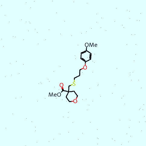 COC(=O)C1(CSCCCOc2ccc(OC)cc2)CCOCC1